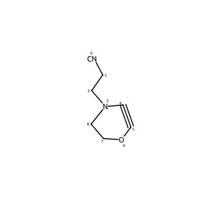 [C-]#[N+]CCN1C#COCC1